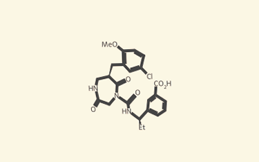 CC[C@@H](NC(=O)N1CC(=O)NC[C@@H](Cc2cc(Cl)ccc2OC)C1=O)c1cccc(C(=O)O)c1